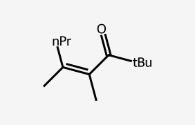 CCCC(C)=C(C)C(=O)C(C)(C)C